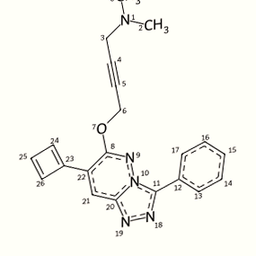 CN(C)CC#CCOc1nn2c(-c3ccccc3)nnc2cc1C1=CC=C1